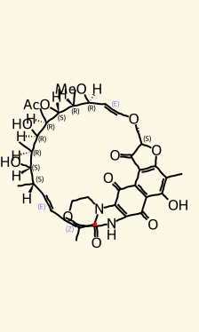 CO[C@H]1/C=C/O[C@@]2(C)Oc3c(C)c(O)c4c(c3C2=O)C(=O)C(N2CCOCC2)=C(NC(=O)/C(C)=C\C=C\[C@H](C)[C@H](O)[C@@H](C)[C@@H](O)[C@@H](C)[C@H](OC(C)=O)[C@@H]1C)C4=O